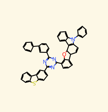 C1=CC2c3cccc(-c4nc(-c5cccc(-c6ccccc6)c5)nc(-c5ccc6sc7ccccc7c6c5)n4)c3OC2c2c1n(-c1ccccc1)c1ccccc21